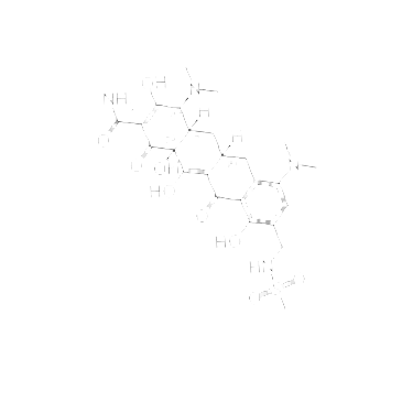 CN(C)c1cc(CNS(C)(=O)=O)c(O)c2c1C[C@H]1C[C@H]3[C@H](N(C)C)C(O)=C(C(N)=O)C(=O)[C@@]3(O)C(O)=C1C2=O